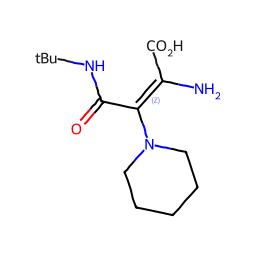 CC(C)(C)NC(=O)/C(=C(/N)C(=O)O)N1CCCCC1